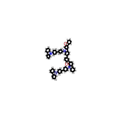 c1ccc2c(c1)oc1cc3c(cc12)c1ccc(-c2ccc4oc5c(ccc6c7ccccc7n(-c7ccc(-c8ccc(-n9c%10ccccc%10c%10ccccc%109)cc8)cc7)c65)c4c2)cc1n3-c1ccc(-c2ccc(-n3c4ccccc4c4ccccc43)cc2)cc1